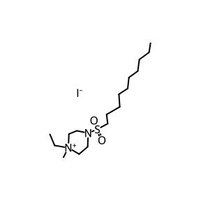 CCCCCCCCCCS(=O)(=O)N1CC[N+](C)(CC)CC1.[I-]